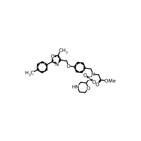 COC(=O)CN(Cc1ccc(OCc2nc(-c3ccc(C)cc3)oc2C)cc1)S(=O)(=O)C1CNCCO1